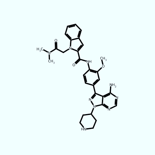 COc1cc(-c2nn(C3CCNCC3)c3ncnc(N)c23)ccc1NC(=O)c1cc2ccccc2n1CC(=O)N(C)C